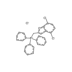 Clc1ccc(Cl)c2oc(C[P+](c3ccccc3)(c3ccccc3)c3ccccc3)cc12.[Cl-]